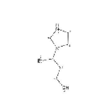 CCC(CCO)C1CCNC1